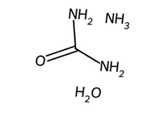 N.NC(N)=O.O